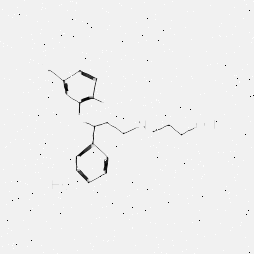 Cl.OCCCNCCC(Oc1cc(Cl)ccc1Cl)c1ccccc1